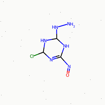 NNC1NC(N=O)=NC(Cl)N1